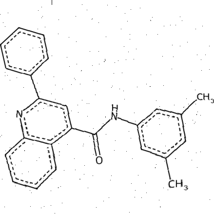 Cc1cc(C)cc(NC(=O)c2cc(-c3ccccc3)nc3ccccc23)c1